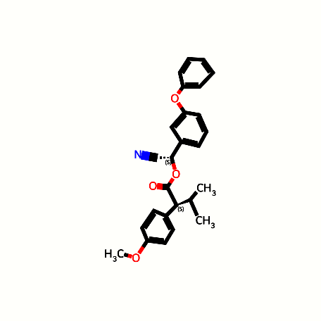 COc1ccc([C@@H](C(=O)O[C@H](C#N)c2cccc(Oc3ccccc3)c2)C(C)C)cc1